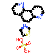 O=S(=O)(O)O.c1cnc2c(c1)ccc1ncccc12.c1cscn1